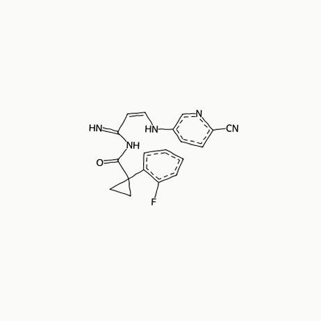 N#Cc1ccc(N/C=C\C(=N)NC(=O)C2(c3ccccc3F)CC2)cn1